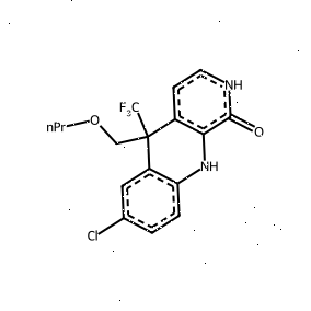 CCCOCC1(C(F)(F)F)c2cc(Cl)ccc2Nc2c1cc[nH]c2=O